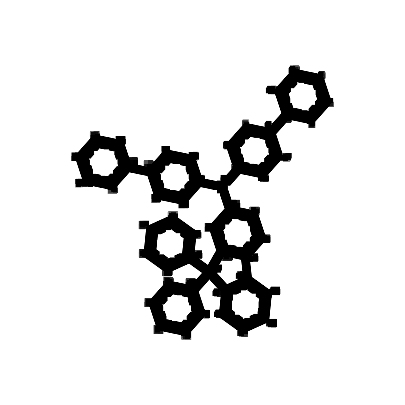 c1ccc(-c2ccc(N(c3ccc(-c4cccnc4)cc3)c3ccc4c(c3)C(c3ccccc3)(c3ccccc3)c3ccccc3-4)cc2)cc1